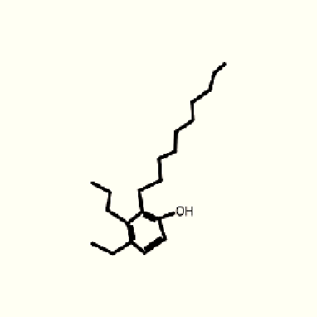 CCCCCCCCCCc1c(O)ccc(CC)c1CCC